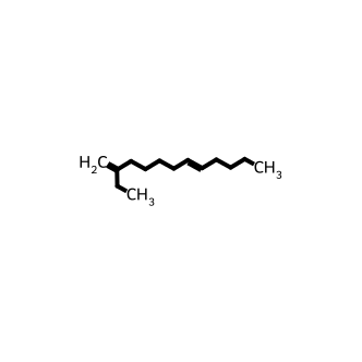 C=C(CC)CCCCC=CCCCC